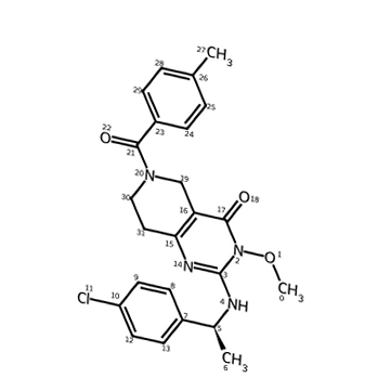 COn1c(N[C@@H](C)c2ccc(Cl)cc2)nc2c(c1=O)CN(C(=O)c1ccc(C)cc1)CC2